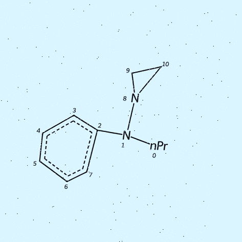 CCCN(c1ccccc1)N1CC1